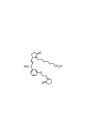 O=C(O)CCCCCCN1C(=O)CCC1/C=C/[C@@H](O)c1cccc(OCCN2CCCC2=O)c1